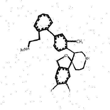 CC(=O)NCCc1ccccc1-c1ccc(C2CNCC[C@@]23OCc2cc(F)c(F)cc23)c(C)c1